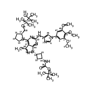 COc1cc(-n2cnc(Nc3nc(N4CCC[C@H]4CO[Si](C)(C)C(C)(C)C)c4c(C)nn([C@H]5C[C@@H](NC(=O)OC(C)(C)C)C5)c4n3)c2)cc(OC)c1OC